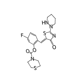 O=C1N=C(N2CCCCN2)S/C1=C\c1ccc(F)cc1OC(=O)N1CCSCC1